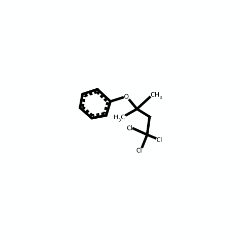 CC(C)([CH]C(Cl)(Cl)Cl)Oc1ccccc1